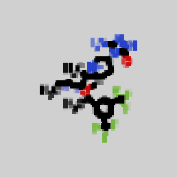 C=C(/C=C\C=C/C)[C@]1(CO[C@H](C)c2cc(C(F)(F)F)cc(C(F)(F)F)c2)CC[C@@H](n2c(N)n[nH]c2=O)CN1